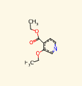 CCOC(=O)c1ccncc1OCC